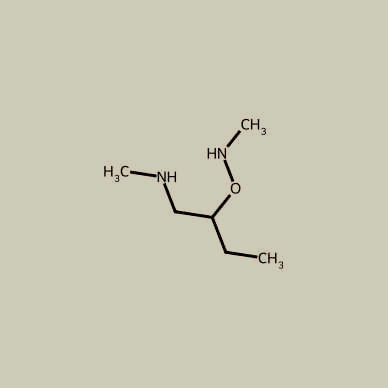 CCC(CNC)ONC